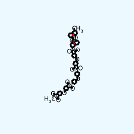 Cc1ccc(O[Si](Oc2ccc(N3C(=O)c4ccc(Oc5ccc6c(c5)C(=O)N(c5ccc(Oc7ccc(N8C(=O)c9ccc(Oc%10ccc%11c(c%10)C(=O)N(C)C%11=O)cc9C8=O)cc7)cc5)C6=O)cc4C3=O)cc2)(c2ccccc2)c2ccccc2)cc1